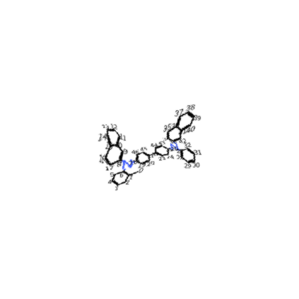 CC1CC=CCC1N(C1=Cc2ccccc2CC1)c1ccc(C2=CCC(N(c3ccccc3)c3ccc4ccccc4c3)C=C2)cc1